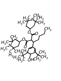 CCCCC(C1=CC(C(C)(C)C)C(O)C(C(C)(C)C)=C1)C(C(=O)OC1CC(C)(C)N(C)C(C)(C)C1)C(=O)OC1CC(C)(C)N(C)C(C)(C)C1